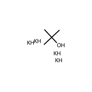 CC(C)(C)O.[KH].[KH].[KH].[KH]